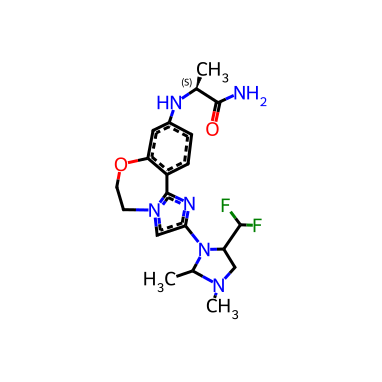 CC1N(C)CC(C(F)F)N1c1cn2c(n1)-c1ccc(N[C@@H](C)C(N)=O)cc1OCC2